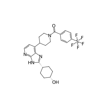 O=C(c1ccc(S(F)(F)(F)(F)F)cc1)N1CCC(c2ccnc3[nH]c([C@H]4CC[C@@H](O)CC4)nc23)CC1